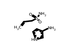 C=CCS(N)(=O)=O.Nc1cc[nH]c1